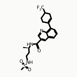 C[C@H](CCNS(C)(=O)=O)NC(=O)c1cnc2c(C3=CCC(C(F)(F)F)CC3)cccc2c1